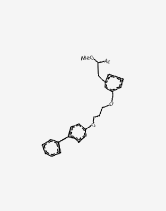 COC(Cc1cccc(OCCCOc2ccc(-c3ccccc3)cc2)c1)C(C)=O